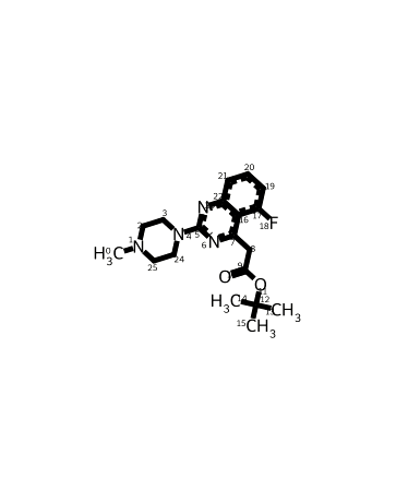 CN1CCN(c2nc(CC(=O)OC(C)(C)C)c3c(F)cccc3n2)CC1